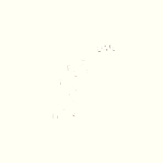 CCCc1ccc(-c2ccc(C3CCC(OC)CO3)c(F)c2F)cc1F